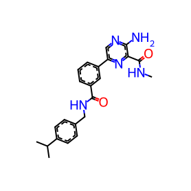 CNC(=O)c1nc(-c2cccc(C(=O)NCc3ccc(C(C)C)cc3)c2)cnc1N